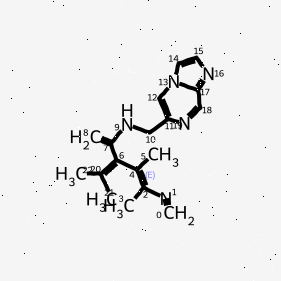 C=N/C(C)=C(\C)C(C(=C)NCc1cn2ccnc2cn1)=C(C)C